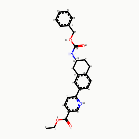 CCOC(=O)c1ccc(-c2ccc3c(c2)C[C@@H](NC(=O)OCc2ccccc2)CC3)nc1